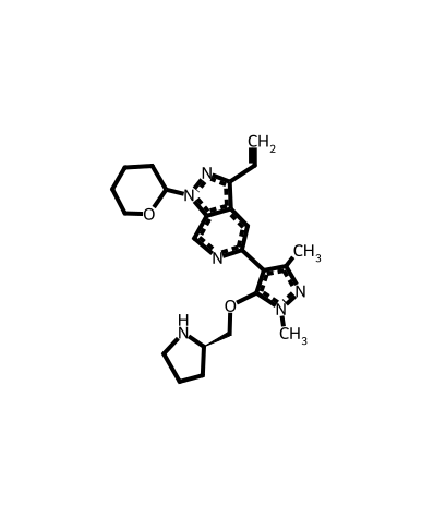 C=Cc1nn(C2CCCCO2)c2cnc(-c3c(C)nn(C)c3OC[C@H]3CCCN3)cc12